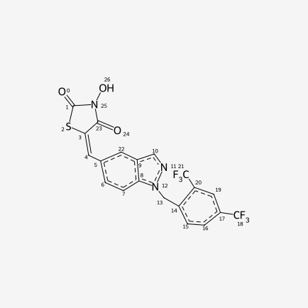 O=C1SC(=Cc2ccc3c(cnn3Cc3ccc(C(F)(F)F)cc3C(F)(F)F)c2)C(=O)N1O